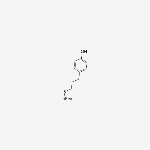 CCCCCSCCCc1ccc(O)cc1